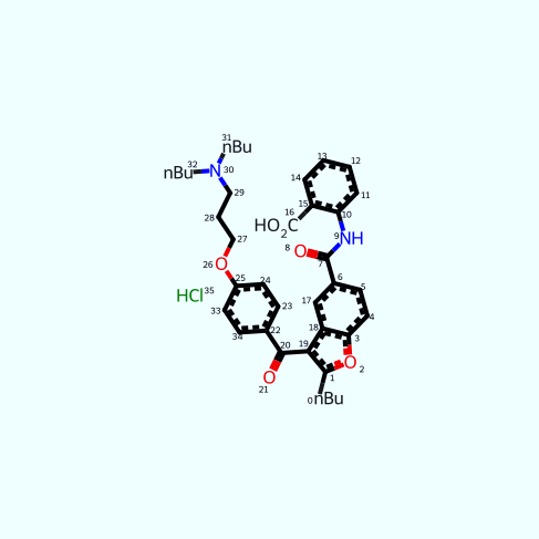 CCCCc1oc2ccc(C(=O)Nc3ccccc3C(=O)O)cc2c1C(=O)c1ccc(OCCCN(CCCC)CCCC)cc1.Cl